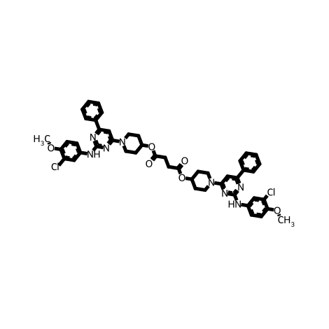 COc1ccc(Nc2nc(-c3ccccc3)cc(N3CCC(OC(=O)CCC(=O)OC4CCN(c5cc(-c6ccccc6)nc(Nc6ccc(OC)c(Cl)c6)n5)CC4)CC3)n2)cc1Cl